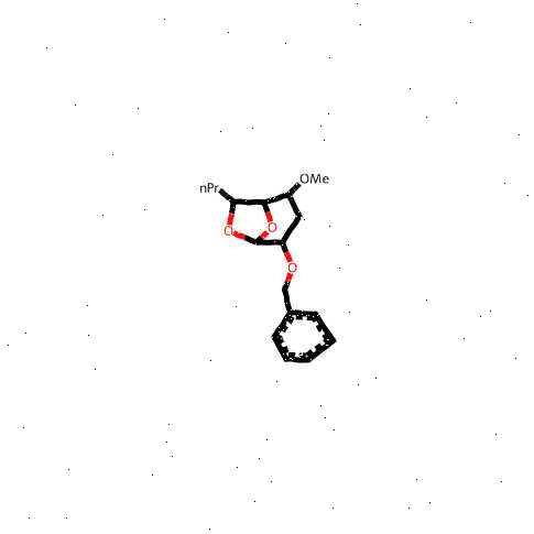 CCCC1OC2OC1C(OC)CC2OCc1ccccc1